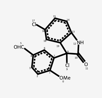 COc1ccc(C=O)cc1C1(Cl)C(=O)Nc2ccc(Cl)cc21